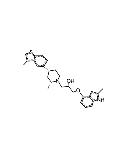 Cc1cc2c(OC[C@@H](O)CN3CC[C@@H](c4ccc5scc(C)c5c4)C[C@H]3C)cccc2[nH]1